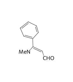 CN/C(=C\C=O)c1ccccc1